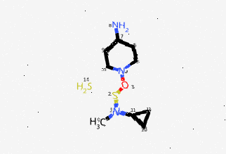 CN(SON1CCC(N)CC1)C1CC1.S